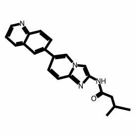 CC(C)CC(=O)Nc1cn2cc(-c3ccc4ncccc4c3)ccc2n1